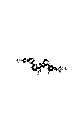 CS(=O)(=O)NCc1cc(F)cc(-c2nccc3[nH]c(-c4n[nH]c5ccc(-c6cncc(N7CC(N)C7)n6)nc45)cc23)c1